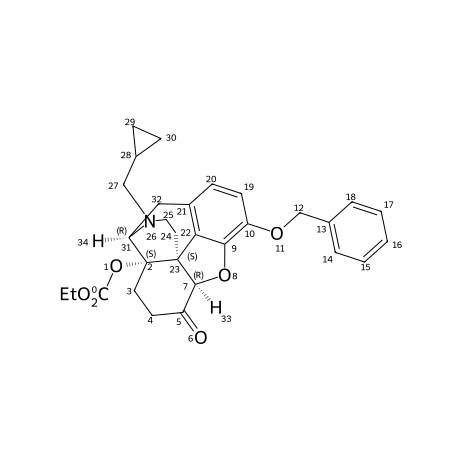 CCOC(=O)O[C@@]12CCC(=O)[C@@H]3Oc4c(OCc5ccccc5)ccc5c4[C@@]31CCN(CC1CC1)[C@@H]2C5